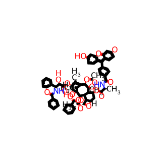 CC(=O)O[C@H]1C(=O)[C@@]2(C)C([C@H](OC(=O)c3ccccc3)[C@]3(O)C[C@H](OC(=O)[C@H](O)[C@@H](NC(=O)c4ccccc4)c4ccccc4)C(C)=C1C3(C)C)[C@]1(OC(C)=O)CO[C@@H]1C[C@@H]2OC(=O)[C@H](C)NC(=O)c1ccc(-c2c3ccc(=O)cc-3oc3cc(O)ccc23)cc1